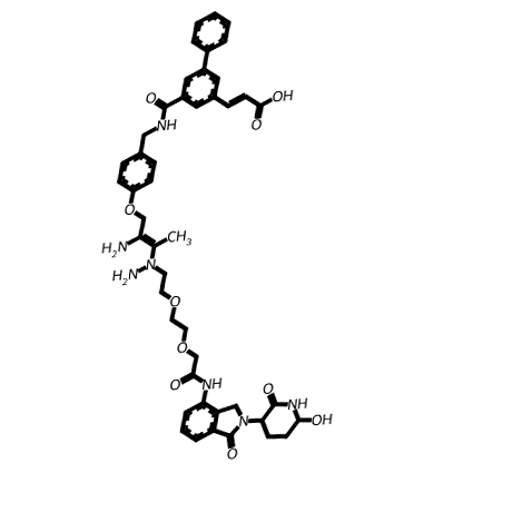 C/C(=C(/N)COc1ccc(CNC(=O)c2cc(/C=C/C(=O)O)cc(-c3ccccc3)c2)cc1)N(N)CCOCCOCC(=O)Nc1cccc2c1CN(C1CCC(O)NC1=O)C2=O